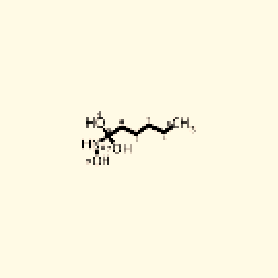 CCCCCC(O)(O)NO